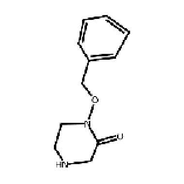 O=C1CNCCN1OCc1ccccc1